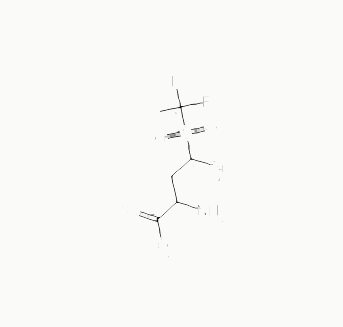 NC(CC(Br)S(=O)(=O)C(F)(F)F)C(=O)O